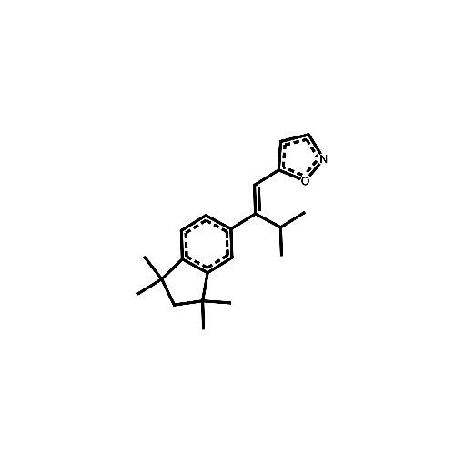 CC(C)C(=Cc1ccno1)c1ccc2c(c1)C(C)(C)CC2(C)C